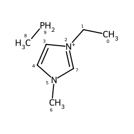 CC[n+]1ccn(C)c1.CP